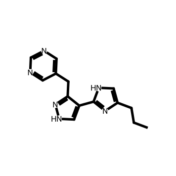 CCCc1c[nH]c(-c2c[nH]nc2Cc2cncnc2)n1